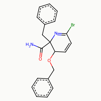 NC(=O)C1(Cc2ccccc2)N=C(Br)C=CC1OCc1ccccc1